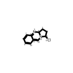 ClC1CCC2N=c3ccccc3=CN12